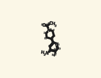 CC(=O)N1CCC(c2cc(N)c(F)cn2)CC1